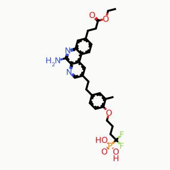 CCOC(=O)CCc1ccc2c(c1)nc(N)c1ncc(CCc3ccc(OCCCC(F)(F)P(=O)(O)O)c(C)c3)cc12